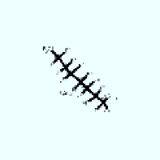 FC(F)(F)C(F)(F)C(F)(F)C(F)(F)C(F)(F)C(F)(F)C(F)(F)C(F)(F)[SiH3].[SiH4]